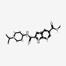 COC(=O)c1cnc2[nH]c(C(=O)NC3CCN(C(C)C)CC3)cc2c1